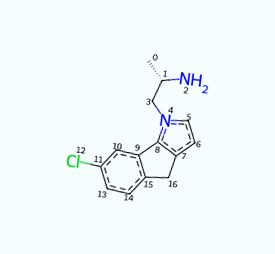 C[C@H](N)Cn1ccc2c1-c1cc(Cl)ccc1C2